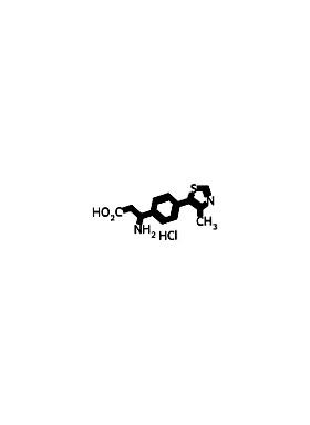 Cc1ncsc1-c1ccc(C(N)CC(=O)O)cc1.Cl